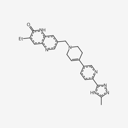 CCc1cc2ncc(CN3CC=C(c4ccc(-c5nnc(C)[nH]5)nc4)CC3)cc2[nH]c1=O